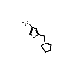 Cc1coc(CN2CCCC2)c1